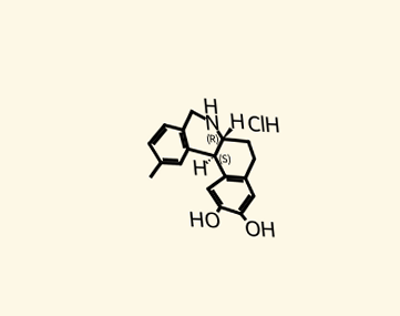 Cc1ccc2c(c1)[C@@H]1c3cc(O)c(O)cc3CC[C@H]1NC2.Cl